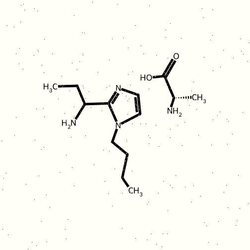 CCCCn1ccnc1C(N)CC.C[C@H](N)C(=O)O